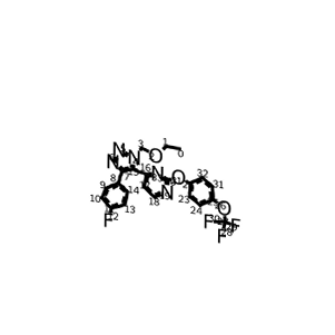 CCOCn1nnc(-c2ccc(F)cc2)c1-c1ccnc(Oc2ccc(OC(F)(F)F)cc2)n1